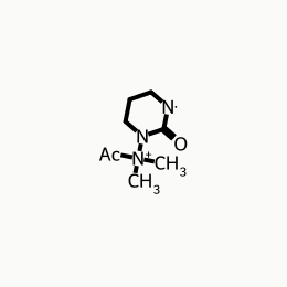 CC(=O)[N+](C)(C)N1CCC[N]C1=O